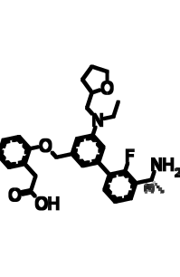 CCN(CC1CCCO1)c1cc(COc2ccccc2CC(=O)O)cc(-c2cccc([C@@H](C)N)c2F)c1